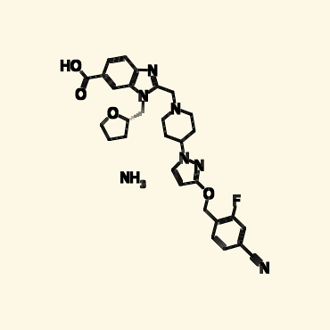 N.N#Cc1ccc(COc2ccn(C3CCN(Cc4nc5ccc(C(=O)O)cc5n4C[C@@H]4CCCO4)CC3)n2)c(F)c1